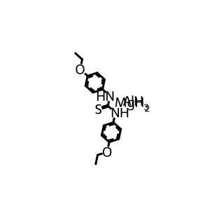 CCOc1ccc(NC(=S)Nc2ccc(OCC)cc2)cc1.[AlH3].[MgH2]